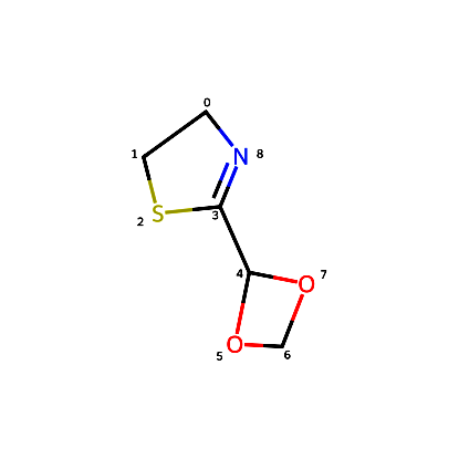 C1CSC(C2OCO2)=N1